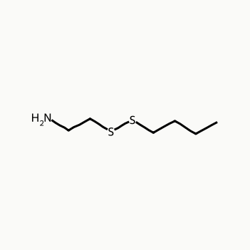 CCCCSSCCN